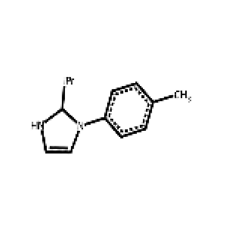 Cc1ccc(N2C=CNC2C(C)C)cc1